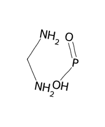 NCN.O=PO